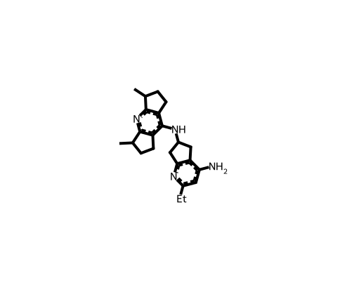 CCc1cc(N)c2c(n1)CC(Nc1c3c(nc4c1CCC4C)C(C)CC3)C2